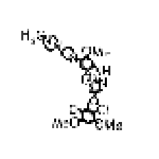 COc1cc(Nc2ncc(OCc3c(Cl)c(OC)cc(OC)c3Cl)cn2)c(Cl)cc1N1CCC(N2CCN(C)CC2)CC1